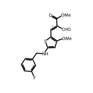 COC(=O)/C(C=O)=C/c1sc(NCc2cccc(F)c2)cc1OC